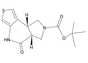 CC(C)(C)OC(=O)N1C[C@@H]2C(=O)Nc3cscc3[C@@H]2C1